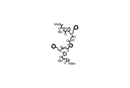 CN[C@@H](C)C(=O)N[C@H](C(=O)N1CCC[C@H]1CN(CCc1ccccc1)C(=O)CNC(=O)c1cccc(C(=O)NCC(=O)N(CCc2ccccc2)C[C@@H]2CCCN2C(=O)[C@@H](NC(=O)[C@H](C)NC)C(C)(C)C)n1)C(C)(C)C